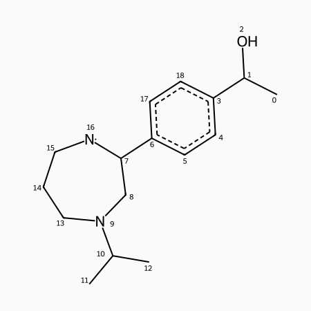 CC(O)c1ccc(C2CN(C(C)C)CCC[N]2)cc1